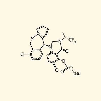 C[C@@H](N1CN([C@@H]2c3ccccc3SCc3c(Cl)cccc32)n2ccc(=O)c(OC(=O)OC(C)(C)C)c2C1=O)C(F)(F)F